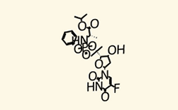 CC(C)OC(=O)[C@H](C)N[P@@](=O)(Oc1ccccc1)OC(C)(C)[C@H]1O[C@@H](n2cc(F)c(=O)[nH]c2=O)C[C@@H]1O